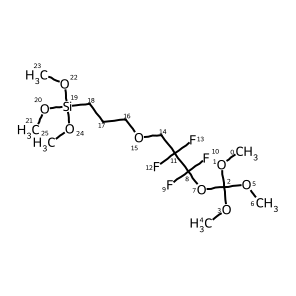 COC(OC)(OC)OC(F)(F)C(F)(F)COCCC[Si](OC)(OC)OC